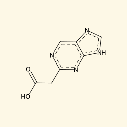 O=C(O)Cc1ncc2nc[nH]c2n1